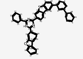 c1ccc(-c2cccc(-c3ccc4sc5cc(-c6nc(-c7ccccc7)nc(-c7ccc8c(c7)oc7ccccc78)n6)ccc5c4c3)c2)cc1